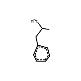 CCCC(C)Cc1[c]cc[c]c1